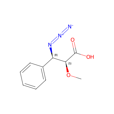 CO[C@H](C(=O)O)[C@H](N=[N+]=[N-])c1ccccc1